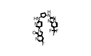 O=C1c2ncc(F)cc2CN1c1ccc(N[C@H]2CC[C@H](Nc3nc4cc(C(F)(F)F)ccn4n3)C2)nc1